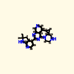 CC1(C)Cc2c(-c3nc(N4CCNCC4)c4c(C5CC5)cncc4n3)ccnc2N1